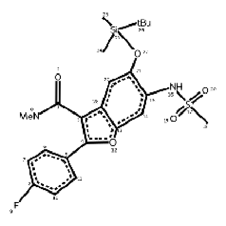 CNC(=O)c1c(-c2ccc(F)cc2)oc2cc(NS(C)(=O)=O)c(O[Si](C)(C)C(C)(C)C)cc12